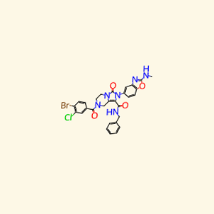 CNc1nc2cc(-n3c(C(=O)NCc4ccccc4)c4n(c3=O)CCN(C(=O)c3ccc(Br)c(Cl)c3)C4)ccc2o1